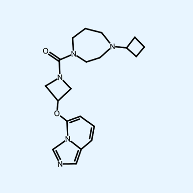 O=C(N1CCCN(C2CCC2)CC1)N1CC(Oc2cccc3cncn23)C1